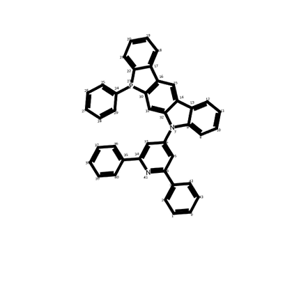 c1ccc(-c2cc(-n3c4ccccc4c4cc5c6ccccc6p(-c6ccccc6)c5cc43)cc(-c3ccccc3)n2)cc1